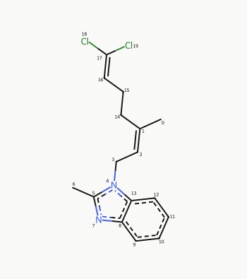 CC(=CCn1c(C)nc2ccccc21)CCC=C(Cl)Cl